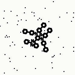 c1ccc(-c2ccc(N3c4ccc(-c5ccccc5)cc4B4c5cc(-c6ccccc6)ccc5N(c5ccc(-c6ccccc6)cc5)c5cc(-c6nc(-c7ccccc7)nc7ccccc67)cc3c54)cc2)cc1